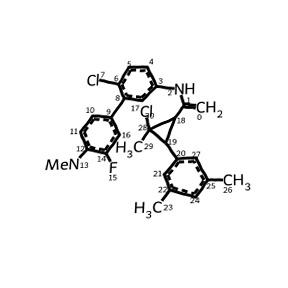 C=C(Nc1ccc(Cl)c(-c2ccc(NC)c(F)c2)c1)C1C(c2cc(C)cc(C)c2)C1(C)Cl